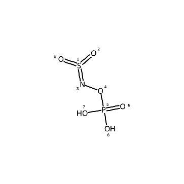 O=S(=O)=NOP(=O)(O)O